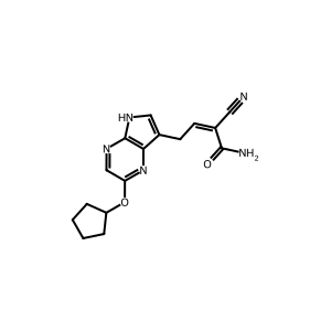 N#CC(=CCc1c[nH]c2ncc(OC3CCCC3)nc12)C(N)=O